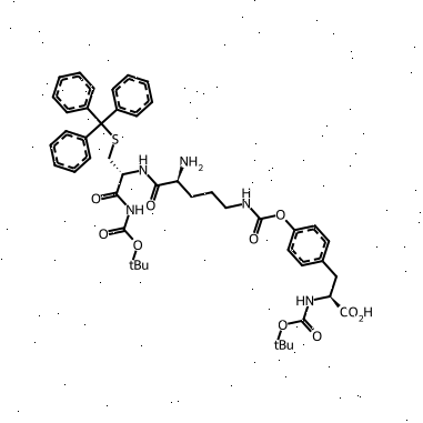 CC(C)(C)OC(=O)NC(=O)[C@H](CSC(c1ccccc1)(c1ccccc1)c1ccccc1)NC(=O)[C@@H](N)CCCNC(=O)Oc1ccc(C[C@H](NC(=O)OC(C)(C)C)C(=O)O)cc1